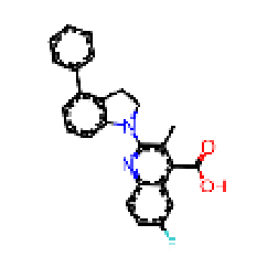 Cc1c(N2CCc3c(-c4ccccc4)cccc32)nc2ccc(F)cc2c1C(=O)O